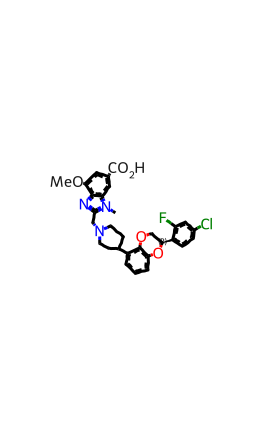 COc1cc(C(=O)O)cc2c1nc(CN1CCC(c3cccc4c3OC[C@@H](c3ccc(Cl)cc3F)O4)CC1)n2C